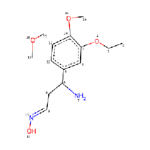 CCOc1cc(C(N)CC=NO)ccc1OC.COC